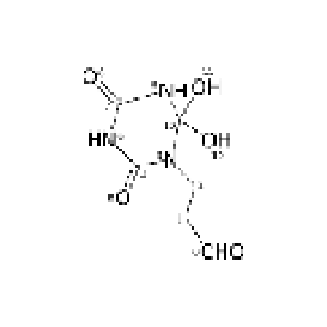 O=CCCN1C(=O)NC(=O)NC1(O)O